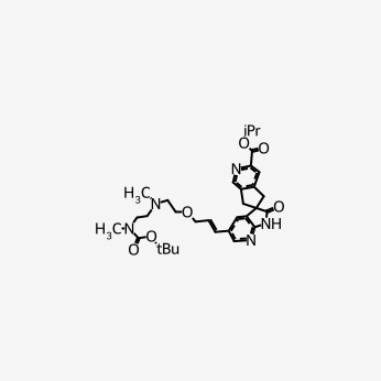 CC(C)OC(=O)c1cc2c(cn1)CC1(C2)C(=O)Nc2ncc(C=CCOCCN(C)CCN(C)C(=O)OC(C)(C)C)cc21